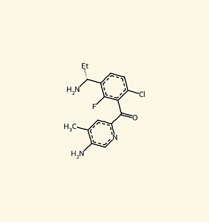 CC[C@@H](N)c1ccc(Cl)c(C(=O)c2cc(C)c(N)cn2)c1F